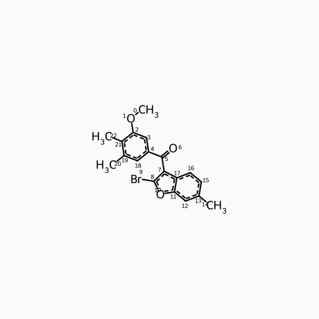 COc1cc(C(=O)c2c(Br)oc3cc(C)ccc23)cc(C)c1C